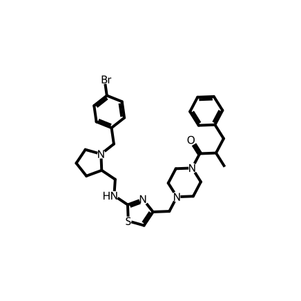 CC(Cc1ccccc1)C(=O)N1CCN(Cc2csc(NCC3CCCN3Cc3ccc(Br)cc3)n2)CC1